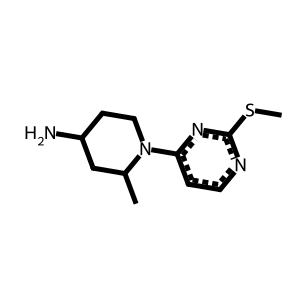 CSc1nccc(N2CCC(N)CC2C)n1